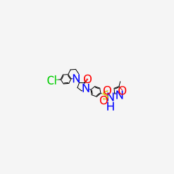 Cc1cc(NS(=O)(=O)c2ccc(N3CC[C@@H](N4CCCc5cc(Cl)ccc54)C3=O)cc2)no1